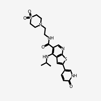 CC(C)Nc1c(C(=O)NCCN2CCS(=O)(=O)CC2)cnc2sc(-c3ccc(=O)[nH]c3)cc12